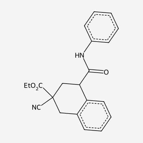 CCOC(=O)C1(C#N)Cc2ccccc2C(C(=O)Nc2ccccc2)C1